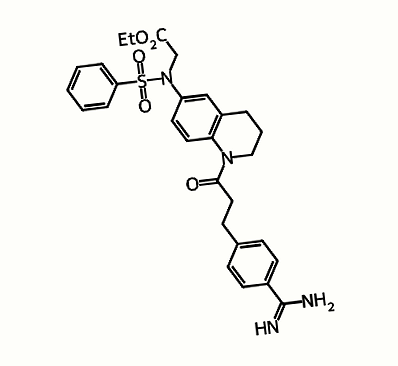 CCOC(=O)CN(c1ccc2c(c1)CCCN2C(=O)CCc1ccc(C(=N)N)cc1)S(=O)(=O)c1ccccc1